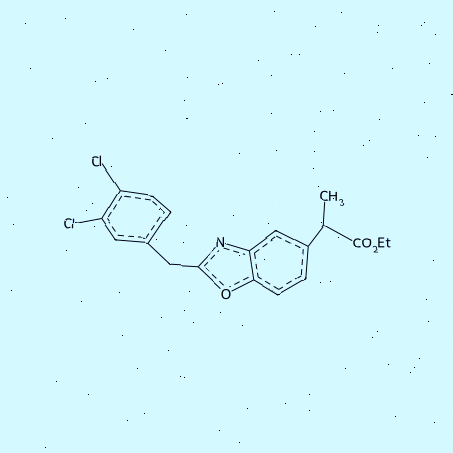 CCOC(=O)C(C)c1ccc2oc(Cc3ccc(Cl)c(Cl)c3)nc2c1